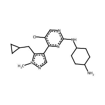 Cn1ncc(-c2nc(NC3CCC(N)CC3)ncc2Cl)c1CC1CC1